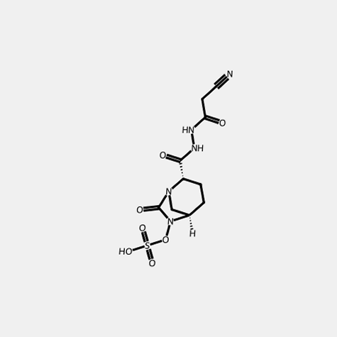 N#CCC(=O)NNC(=O)[C@@H]1CC[C@@H]2CN1C(=O)N2OS(=O)(=O)O